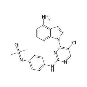 CS(C)(=O)=Nc1ccc(Nc2ncc(Cl)c(-n3ccc4c(N)cccc43)n2)cc1